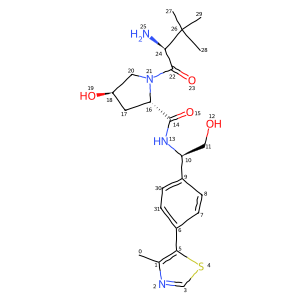 Cc1ncsc1-c1ccc([C@H](CO)NC(=O)[C@@H]2C[C@@H](O)CN2C(=O)[C@@H](N)C(C)(C)C)cc1